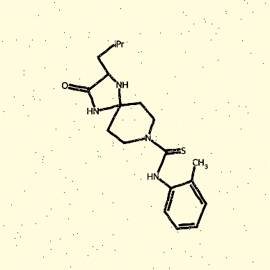 Cc1ccccc1NC(=S)N1CCC2(CC1)NC(=O)C(CC(C)C)N2